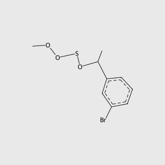 COOSOC(C)c1cccc(Br)c1